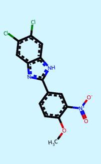 COc1ccc(-c2nc3cc(Cl)c(Cl)cc3[nH]2)cc1[N+](=O)[O-]